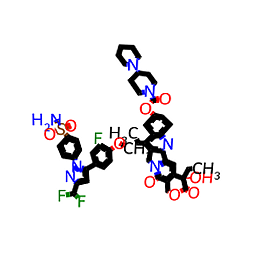 CCc1c2c(nc3ccc(OC(=O)N4CCC(N5CCCCC5)CC4)cc13)-c1cc3c(c(=O)n1C2)COC(=O)[C@]3(O)CC.COc1ccc(-c2cc(C(F)F)nn2-c2ccc(S(N)(=O)=O)cc2)cc1F